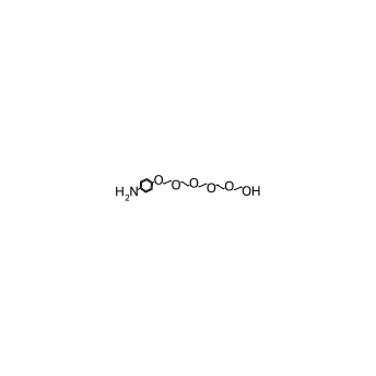 Nc1ccc(OCCOCCOCCOCCOCCO)cc1